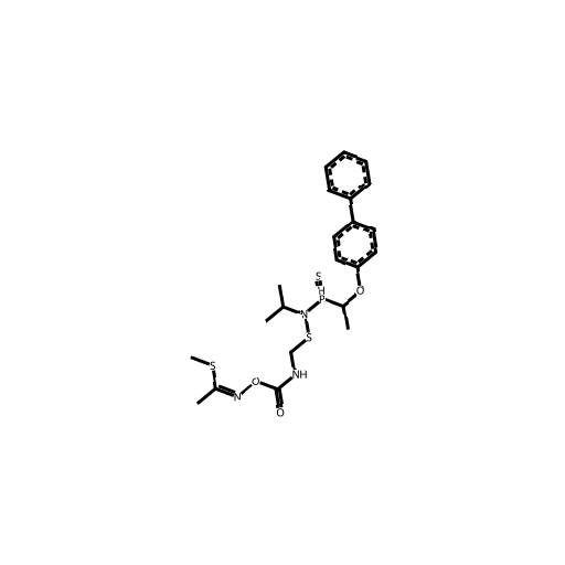 CSC(C)=NOC(=O)NCSN(C(C)C)[PH](=S)C(C)Oc1ccc(-c2ccccc2)cc1